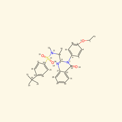 CCOc1ccc(-n2c(C(C)N(C)S(=O)(=O)c3ccc(C(C)(C)C)cc3)nc3ccccc3c2=O)cc1